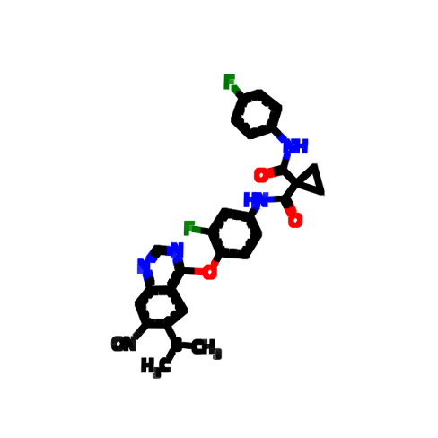 CB(C)c1cc2c(Oc3ccc(NC(=O)C4(C(=O)Nc5ccc(F)cc5)CC4)cc3F)ncnc2cc1N=O